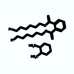 CC(C)CCCCCCOC(=O)c1ccccc1C(=O)OCCCCCCC(C)C.O=C(O)C1CCCCC1C(=O)O